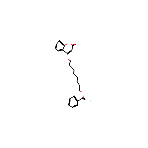 C=C(OCCCCCCCCOc1cc(=O)oc2ccccc12)c1ccccc1